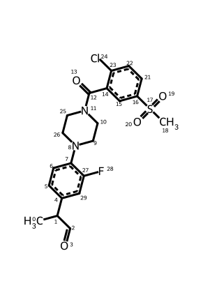 CC(C=O)c1ccc(N2CCN(C(=O)c3cc(S(C)(=O)=O)ccc3Cl)CC2)c(F)c1